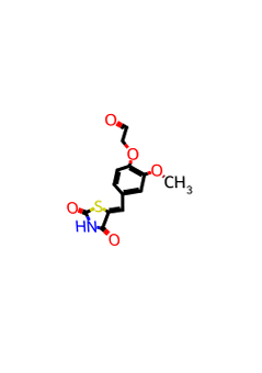 COc1cc(/C=C2\SC(=O)NC2=O)ccc1OCC=O